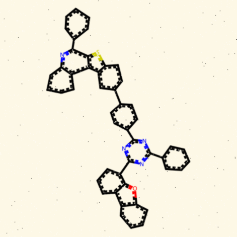 c1ccc(-c2nc(-c3ccc(-c4ccc5sc6c(-c7ccccc7)nc7ccccc7c6c5c4)cc3)nc(-c3cccc4c3oc3ccccc34)n2)cc1